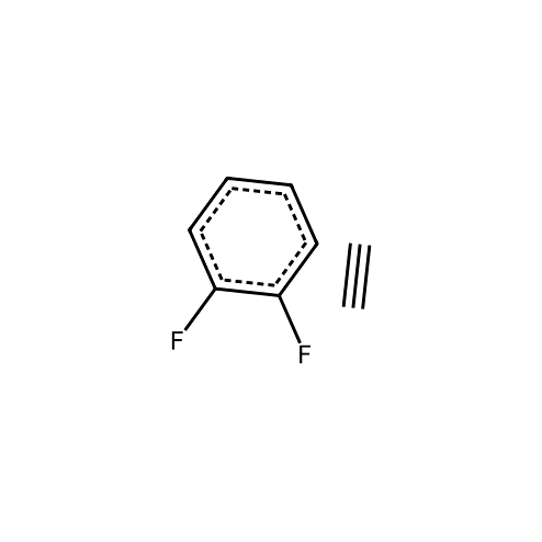 C#C.Fc1ccccc1F